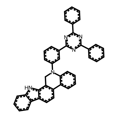 c1ccc(-c2nc(-c3ccccc3)nc(-c3cccc(N4Cc5c(ccc6c5[nH]c5ccccc56)-c5ccccc54)c3)n2)cc1